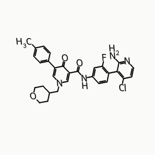 Cc1ccc(-c2cn(CC3CCOCC3)cc(C(=O)Nc3ccc(-c4c(Cl)ccnc4N)c(F)c3)c2=O)cc1